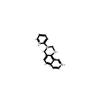 c1ccc(N2COc3c(ccc4ccncc34)C2)nc1